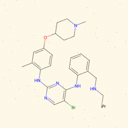 Cc1cc(OC2CCN(C)CC2)ccc1Nc1ncc(Br)c(Nc2ccccc2CNCC(C)C)n1